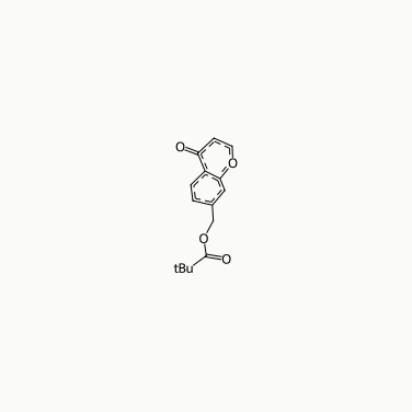 CC(C)(C)C(=O)OCc1ccc2c(=O)ccoc2c1